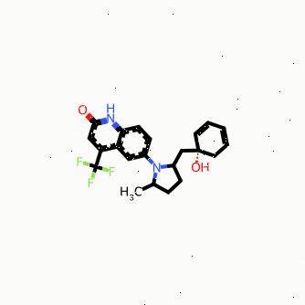 CC1CCC(C[C@@]2(O)C=CC=CC2)N1c1ccc2[nH]c(=O)cc(C(F)(F)F)c2c1